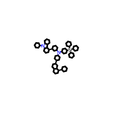 c1ccc(-c2cccc3ccc(-c4ccc(N(c5ccc([Si](c6ccccc6)(c6ccccc6)c6ccccc6)cc5)c5cccc(-c6cccc7c6c6ccccc6n7-c6ccccc6)c5)cc4)cc23)cc1